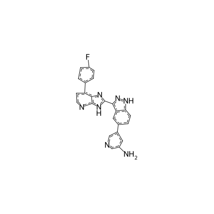 Nc1cncc(-c2ccc3[nH]nc(-c4nc5c(-c6ccc(F)cc6)ccnc5[nH]4)c3c2)c1